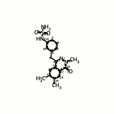 Cc1cc2c(Cc3cccc(NS(N)(=O)=O)c3)nn(C)c(=O)c2cc1C